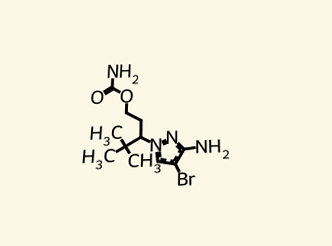 CC(C)(C)C(CCOC(N)=O)n1cc(Br)c(N)n1